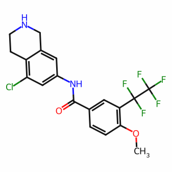 COc1ccc(C(=O)Nc2cc(Cl)c3c(c2)CNCC3)cc1C(F)(F)C(F)(F)F